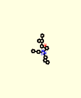 c1ccc(-c2ccc(-c3nc(-c4ccc5c(ccc6ccccc65)c4)nc(-c4cccc5oc6c(-c7ccc(-c8ccccc8)c8ccccc78)cccc6c45)n3)cc2)cc1